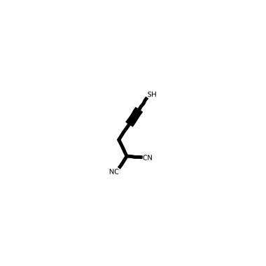 N#CC(C#N)CC#CS